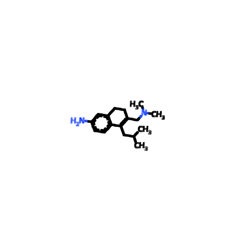 CC(C)CC1=C(CN(C)C)CCc2cc(N)ccc21